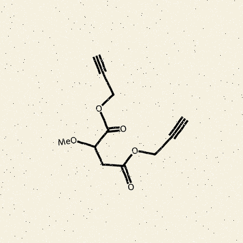 C#CCOC(=O)CC(OC)C(=O)OCC#C